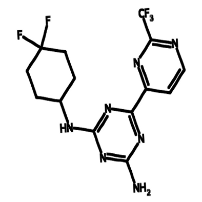 Nc1nc(NC2CCC(F)(F)CC2)nc(-c2ccnc(C(F)(F)F)n2)n1